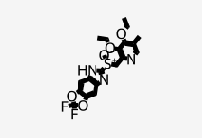 CCOc1c(C)cnc(C[S+]([O-])c2nc3cc4c(cc3[nH]2)OC(F)(F)O4)c1OCC